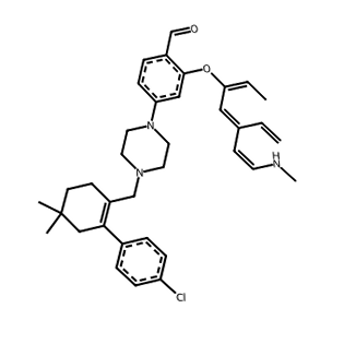 C=CC(/C=C\NC)=C\C(=C/C)Oc1cc(N2CCN(CC3=C(c4ccc(Cl)cc4)CC(C)(C)CC3)CC2)ccc1C=O